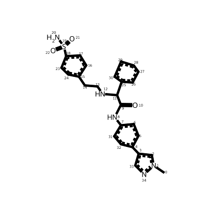 Cn1cc(-c2ccc(NC(=O)C(NCCc3ccc(S(N)(=O)=O)cc3)c3ccccc3)cc2)cn1